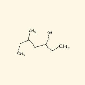 CCC(C)CC(O)CC